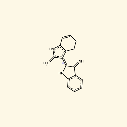 C=c1[nH]c2c(/c1=C1/Nc3ccccc3C1=N)CCC=C2